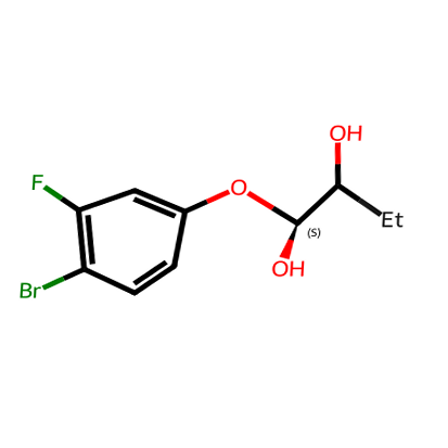 CCC(O)[C@@H](O)Oc1ccc(Br)c(F)c1